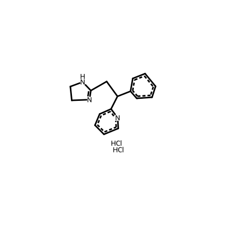 Cl.Cl.c1ccc(C(CC2=NCCN2)c2ccccn2)cc1